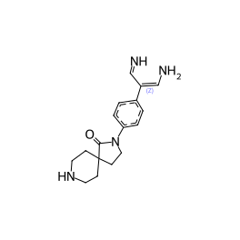 N=C/C(=C\N)c1ccc(N2CCC3(CCNCC3)C2=O)cc1